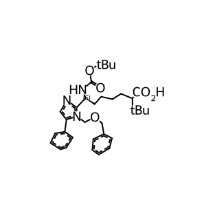 CC(C)(C)OC(=O)N[C@@H](CCCCC(C(=O)O)C(C)(C)C)c1ncc(-c2ccccc2)n1COCc1ccccc1